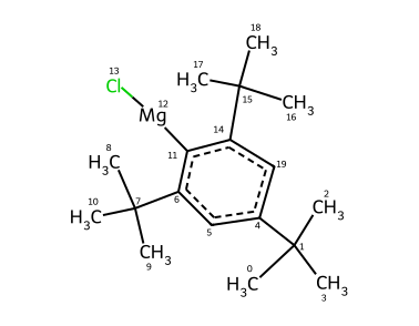 CC(C)(C)c1cc(C(C)(C)C)[c]([Mg][Cl])c(C(C)(C)C)c1